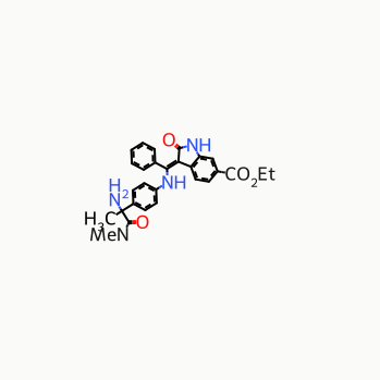 CCOC(=O)c1ccc2c(c1)NC(=O)C2=C(Nc1ccc(C(C)(N)C(=O)NC)cc1)c1ccccc1